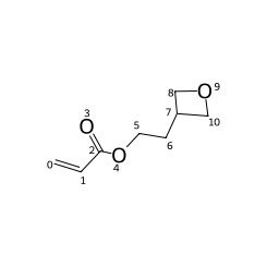 C=CC(=O)OCCC1COC1